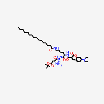 CCCCCCCCCCCCCCCC(=O)NCCCCC(NC(=O)c1cc2ccc(N(CC)CC)cc2oc1=O)C(=O)NNC(=O)[C@@H](N)CC(=O)OC(C)(C)C